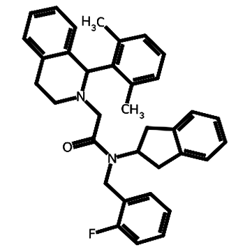 Cc1cccc(C)c1C1c2ccccc2CCN1CC(=O)N(Cc1ccccc1F)C1Cc2ccccc2C1